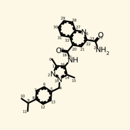 Cc1nn(Cc2ccc(C(C)C)cc2)c(C)c1NC(=O)c1cc(C(N)=O)nc2ccccc12